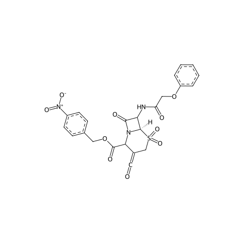 O=C=C1CS(=O)(=O)[C@@H]2C(NC(=O)COc3ccccc3)C(=O)N2C1C(=O)OCc1ccc([N+](=O)[O-])cc1